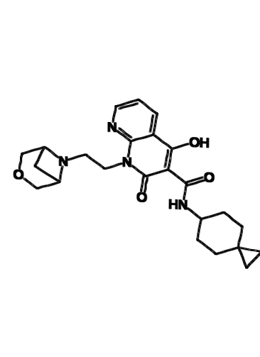 O=C(NC1CCC2(CC1)CC2)c1c(O)c2cccnc2n(CCN2C3COCC2C3)c1=O